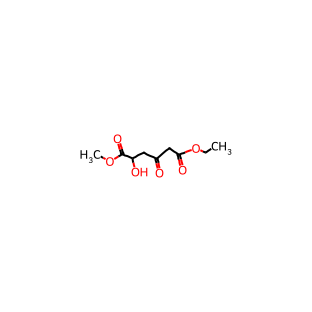 CCOC(=O)CC(=O)CC(O)C(=O)OC